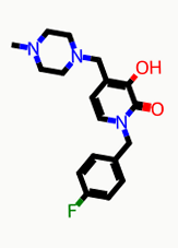 CN1CCN(Cc2ccn(Cc3ccc(F)cc3)c(=O)c2O)CC1